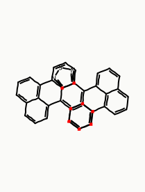 c1ccc(-c2cccc3cccc(-c4c5ccccc5c(-c5cccc6cccc(-c7ccccc7)c56)c5nsnc45)c23)cc1